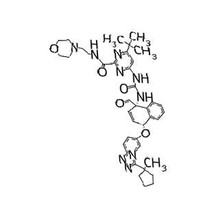 CC(C)(C)c1cc(NC(=O)N[C@@]2(C=O)C=C[C@@H](Oc3ccc4nnc(C5(C)CCCC5)n4c3)c3ccccc32)nc(C(=O)NCCN2CCOCC2)n1